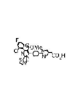 COC(=O)C1=C(C2CCC(c3ncc(CC(=O)O)cn3)CC2)NC(c2nccs2)=NC1c1ccc(F)cc1Cl